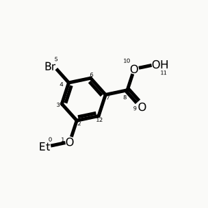 CCOc1cc(Br)cc(C(=O)OO)c1